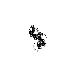 CCc1ncc(C2Oc3cc(-c4cnc([C@@H]5CCCN5C(=O)[C@@H](NC(=O)OC)C(C)C)[nH]4)cc(F)c3-c3cc4cc(-c5cnc([C@@H]6CCCN6C(=O)[C@@H](NC(=O)OC)C(C)C)[nH]5)ccc4n32)s1